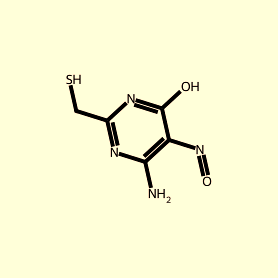 Nc1nc(CS)nc(O)c1N=O